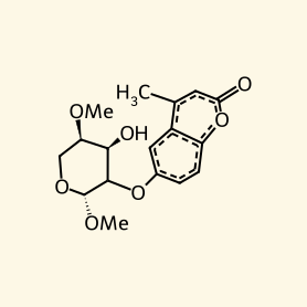 CO[C@@H]1OC[C@@H](OC)[C@@H](O)C1Oc1ccc2oc(=O)cc(C)c2c1